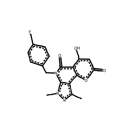 Cc1nn(C)c2c1c1oc(=O)cc(O)c1c(=O)n2Cc1ccc(F)cc1